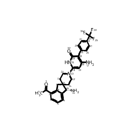 CC(=O)c1cccc2c1CC1(CCN(c3cc(N)c(-c4ccc(C(F)(F)F)cc4)c(=O)[nH]3)CC1)[C@@H]2N